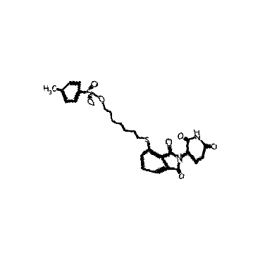 Cc1ccc(S(=O)(=O)OCCCCCCCSc2cccc3c2C(=O)N(C2CCC(=O)NC2=O)C3=O)cc1